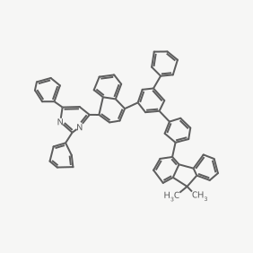 CC1(C)c2ccccc2-c2c(-c3cccc(-c4cc(-c5ccccc5)cc(-c5ccc(-c6cc(-c7ccccc7)nc(-c7ccccc7)n6)c6ccccc56)c4)c3)cccc21